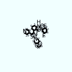 O=S(=O)(Nc1cccc(-c2nc(N3CCC4(CC3)OCCO4)sc2-c2ccncc2)c1F)c1cc(F)ccc1F